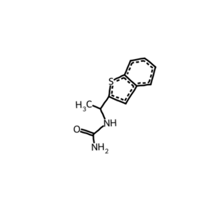 CC(NC(N)=O)c1cc2ccccc2s1